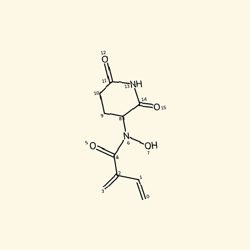 C=CC(=C)C(=O)N(O)C1CCC(=O)NC1=O